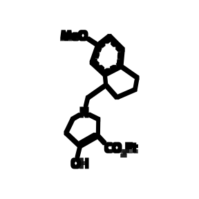 CCOC(=O)C1=C(O)CCN(CC2CCCc3ccc(OC)cc32)C1